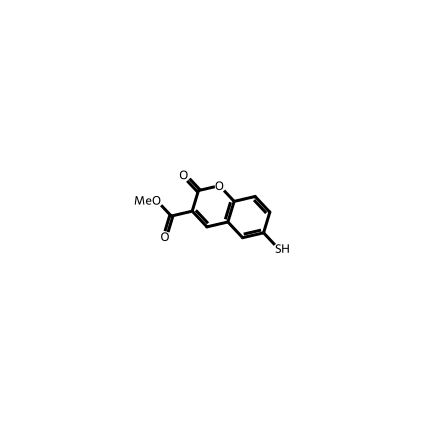 COC(=O)c1cc2cc(S)ccc2oc1=O